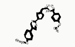 CCCCCCCOc1ccc(-c2cnc(-c3ccc(C[C@H](NC(=O)c4ccc(O[SH](=O)=O)cc4)C(=O)O)cc3)nc2)cc1